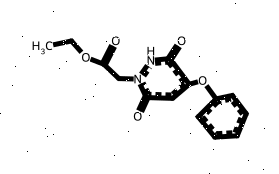 CCOC(=O)Cn1[nH]c(=O)c(Oc2ccccc2)cc1=O